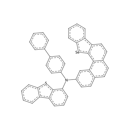 c1ccc(-c2ccc(N(c3ccc4ccc5ccc6c7ccccc7[se]c6c5c4c3)c3cccc4c3sc3ccccc34)cc2)cc1